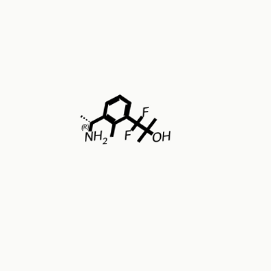 Cc1c([C@@H](C)N)cccc1C(F)(F)C(C)(C)O